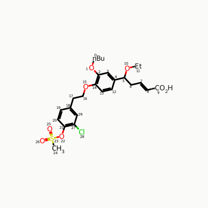 CCCCOc1cc(C(CC=CC(=O)O)OCC)ccc1OCCc1ccc(OS(C)(=O)=O)c(Cl)c1